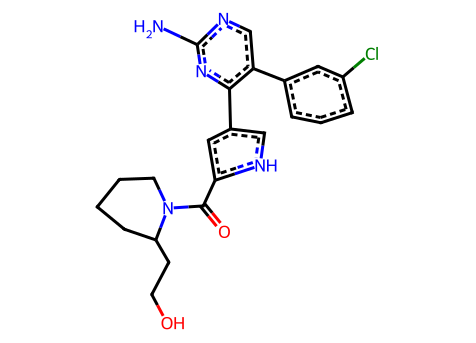 Nc1ncc(-c2cccc(Cl)c2)c(-c2c[nH]c(C(=O)N3CCCCC3CCO)c2)n1